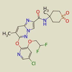 Cc1cc2nc(C(=O)NC3(C)CCS(=O)(=O)CC3)cn2nc1Oc1ncc(Cl)cc1OCC(F)F